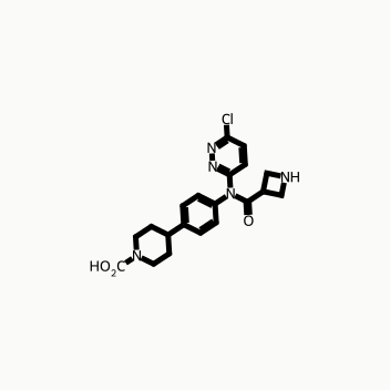 O=C(O)N1CCC(c2ccc(N(C(=O)C3CNC3)c3ccc(Cl)nn3)cc2)CC1